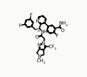 CN1Cc2nn(CC(=O)N[C@@H](Cc3cc(F)cc(F)c3)c3ncccc3-c3ccc(F)c(C(N)=O)c3)c(C(F)(F)F)c2C1